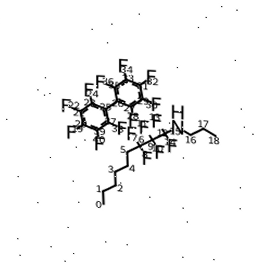 CCCCCCC(F)(F)C(F)(F)C(F)(F)NCCC.Fc1c(F)c(F)c(-c2c(F)c(F)c(F)c(F)c2F)c(F)c1F